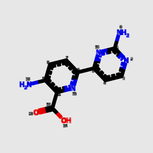 Nc1nccc(-c2ccc(N)c(C(=O)O)n2)n1